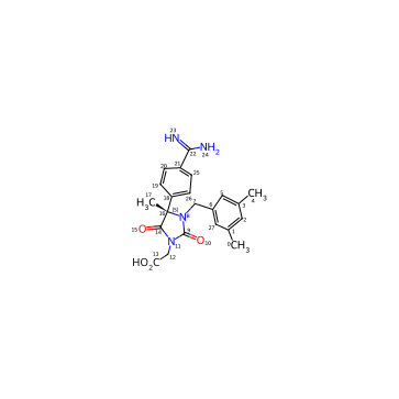 Cc1cc(C)cc(CN2C(=O)N(CC(=O)O)C(=O)[C@]2(C)c2ccc(C(=N)N)cc2)c1